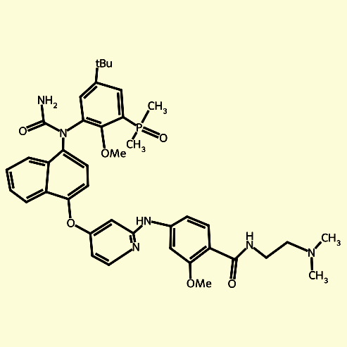 COc1cc(Nc2cc(Oc3ccc(N(C(N)=O)c4cc(C(C)(C)C)cc(P(C)(C)=O)c4OC)c4ccccc34)ccn2)ccc1C(=O)NCCN(C)C